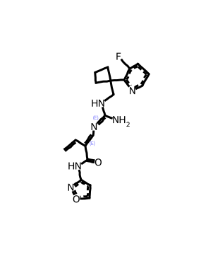 C=C/C(=C\N=C(/N)NCC1(c2ncccc2F)CCC1)C(=O)Nc1ccon1